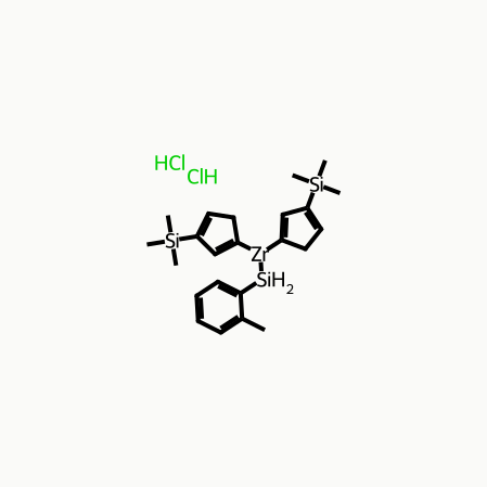 Cc1ccccc1[SiH2][Zr]([C]1=CC([Si](C)(C)C)=CC1)[C]1=CC([Si](C)(C)C)=CC1.Cl.Cl